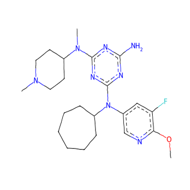 COc1ncc(N(c2nc(N)nc(N(C)C3CCN(C)CC3)n2)C2CCCCCC2)cc1F